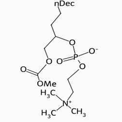 CCCCCCCCCCCCC(COC(=O)OC)OP(=O)([O-])OCC[N+](C)(C)C